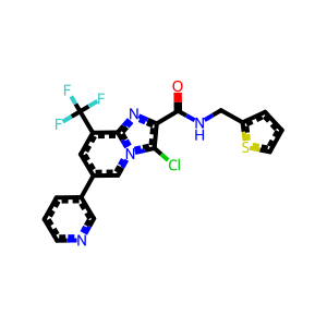 O=C(NCc1cccs1)c1nc2c(C(F)(F)F)cc(-c3cccnc3)cn2c1Cl